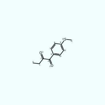 CCC(=O)C(=O)c1ccc(SC)cc1